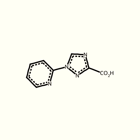 O=C(O)c1ncn(-c2ccccn2)n1